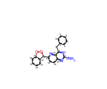 Nc1nc(Cc2ccccc2)c2nc(C3OOc4ccccc43)ccc2n1